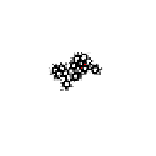 c1ccc(-c2ccc3ccc4cccc5ccc2c3c45)c(-c2ccc(-c3ccc4sc5ccccc5c4c3)c(-c3ccc4ccc5cccc6ccc3c4c56)c2)c1